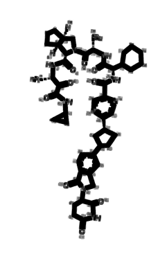 CCC[C@H](NC(=O)[C@@H]1[C@H]2CCC[C@H]2CN1C(=O)[C@@H](NC(=O)[C@@H](NC(=O)c1cnc([C@H]2CCC(c3ccc4c(c3)CN(C3CCC(=O)NC3=O)C4=O)C2)cn1)C1CCCCC1)C(C)(C)C)C(=O)C(=O)NC1CC1